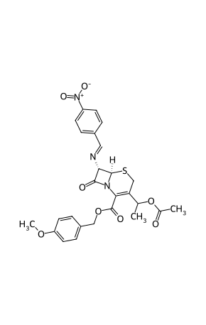 COc1ccc(COC(=O)C2=C(C(C)OC(C)=O)CS[C@@H]3[C@@H](N=Cc4ccc([N+](=O)[O-])cc4)C(=O)N23)cc1